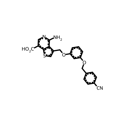 N#Cc1ccc(COc2cccc(OCc3csc4c(C(=O)O)cnc(N)c34)c2)cc1